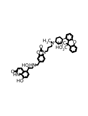 CN(CCCn1c(=O)oc2cc(CNC[C@H](O)c3ccc(O)c4[nH]c(=O)ccc34)ccc21)[C@H]1CC[C@H](c2cccc3c2C(C)(C(=O)O)c2ccccc2O3)CC1